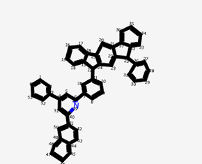 c1ccc(-c2cc(-c3cccc(C4c5ccccc5-c5cc6c(cc54)C(c4ccccc4)c4ccccc4-6)c3)nc(-c3ccc4ccccc4c3)c2)cc1